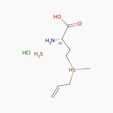 C=CC[SH](C)CC[C@H](N)C(=O)O.Cl.S